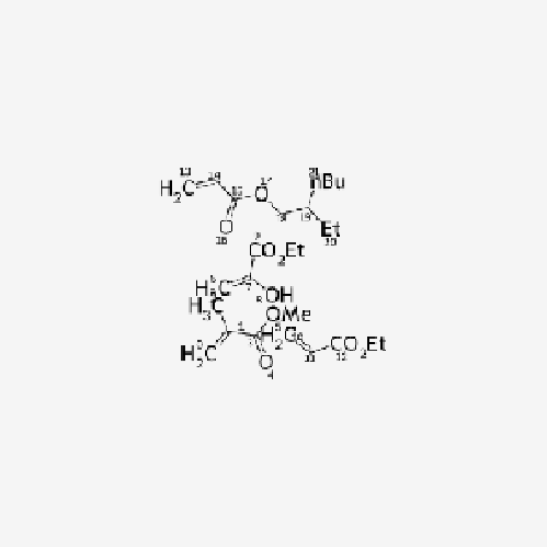 C=C(C)C(=O)OC.C=C(O)C(=O)OCC.C=CC(=O)OCC.C=CC(=O)OCC(CC)CCCC